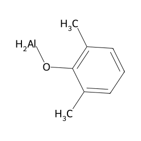 Cc1cccc(C)c1[O][AlH2]